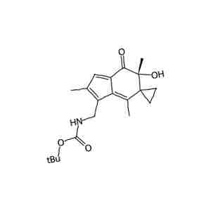 CC1=C(CNC(=O)OC(C)(C)C)C2=C(C)C3(CC3)[C@@](C)(O)C(=O)C2=C1